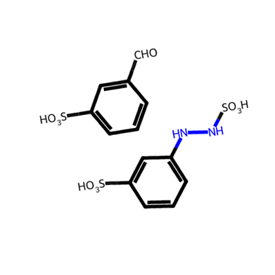 O=Cc1cccc(S(=O)(=O)O)c1.O=S(=O)(O)NNc1cccc(S(=O)(=O)O)c1